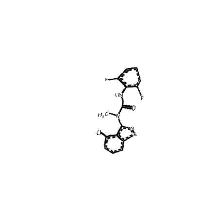 CN(C(=O)Nc1c(F)cccc1F)c1nsc2cccc(Cl)c12